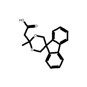 CC1(CC(=O)O)OCC2(CO1)c1ccccc1-c1ccccc12